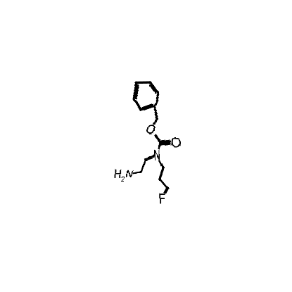 NCCN(CCCF)C(=O)OCc1ccccc1